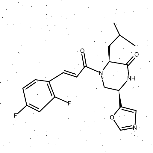 CC(C)C[C@H]1C(=O)N[C@@H](c2cnco2)CN1C(=O)/C=C/c1ccc(F)cc1F